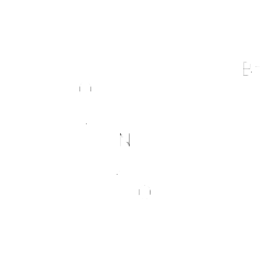 CC(=CCN1C(=O)c2ccccc2C1=O)CBr